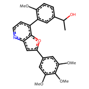 COc1ccc(C(C)O)cc1-c1ccnc2cc(-c3cc(OC)c(OC)c(OC)c3)oc12